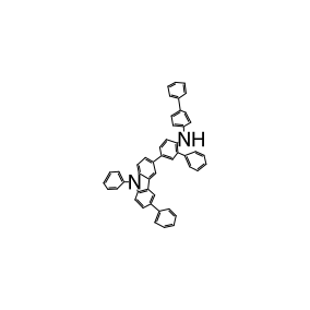 c1ccc(-c2ccc(Nc3ccc(-c4ccc5c(c4)c4cc(-c6ccccc6)ccc4n5-c4ccccc4)cc3-c3ccccc3)cc2)cc1